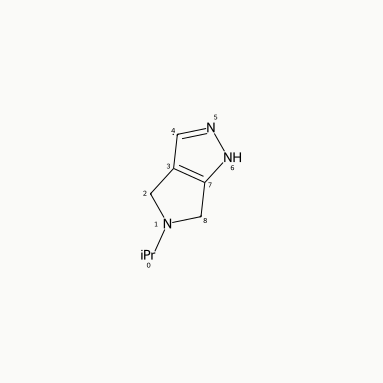 CC(C)N1Cc2[c]n[nH]c2C1